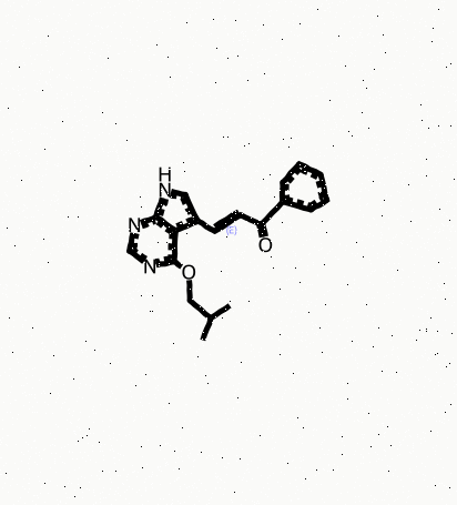 CC(C)COc1ncnc2[nH]cc(/C=C/C(=O)c3ccccc3)c12